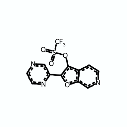 O=S(=O)(Oc1c(-c2cnccn2)oc2cnccc12)C(F)(F)F